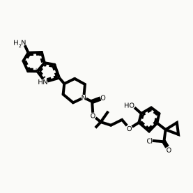 CC(C)(CCOc1cc(C2(C(=O)Cl)CC2)ccc1O)OC(=O)N1CCC(c2cc3cc(N)ccc3[nH]2)CC1